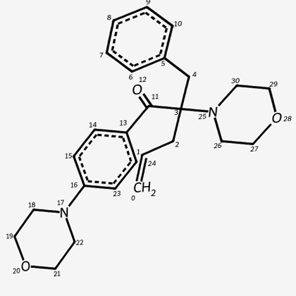 C=CCC(Cc1ccccc1)(C(=O)c1ccc(N2CCOCC2)cc1)N1CCOCC1